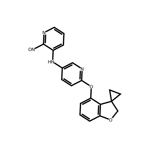 O=Nc1ncccc1Nc1ccc(Oc2cccc3c2C2(CC2)CO3)nc1